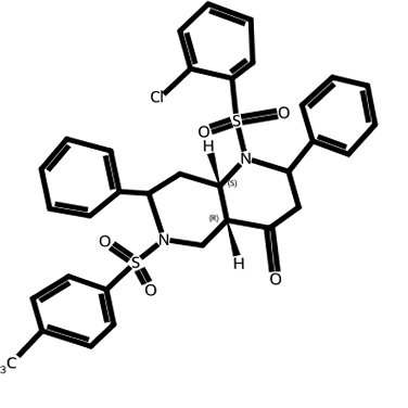 Cc1ccc(S(=O)(=O)N2C[C@H]3C(=O)CC(c4ccccc4)N(S(=O)(=O)c4ccccc4Cl)[C@H]3CC2c2ccccc2)cc1